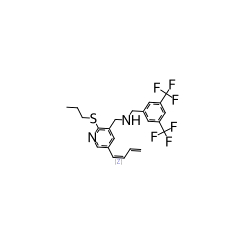 C=C/C=C\c1cnc(SCCC)c(CNCc2cc(C(F)(F)F)cc(C(F)(F)F)c2)c1